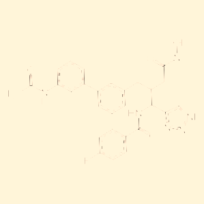 CC(=O)Nc1cccc(-c2cccc(CC(CC(=O)NO)C(NC(=O)c3ccc(F)cc3)c3c[nH]nn3)c2)c1